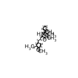 CCc1cc(CC/C=C(/N=C/c2cccs2)C(=O)N(C)C(C)(C)C)ccc1OC